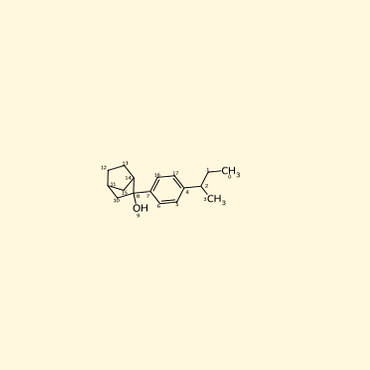 CCC(C)c1ccc(C2(O)CC3CCC2C3)cc1